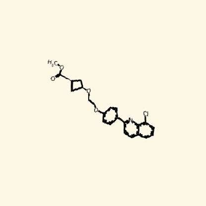 COC(=O)[C@H]1C[C@@H](OCCOc2ccc(-c3ccc4cccc(Cl)c4n3)cc2)C1